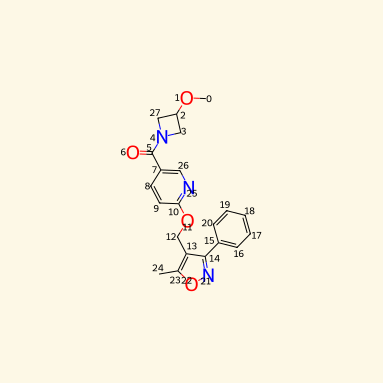 COC1CN(C(=O)c2ccc(OCc3c(-c4ccccc4)noc3C)nc2)C1